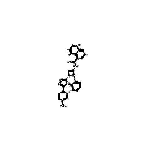 Cc1ccc(-c2nnc([C@H]3C[C@H](NC(=O)c4cccc5nccnc45)C3)n2-c2ccccc2F)nc1